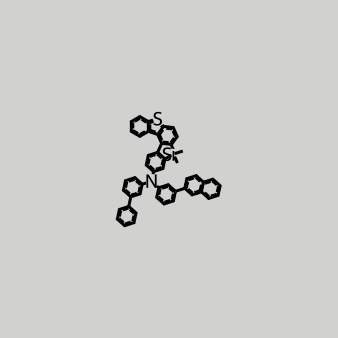 C[Si]1(C)c2cc(N(c3cccc(-c4ccccc4)c3)c3cccc(-c4ccc5ccccc5c4)c3)ccc2-c2c1ccc1sc3ccccc3c21